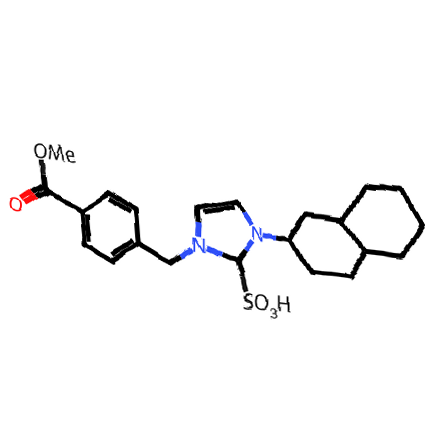 COC(=O)c1ccc(CN2C=CN(C3CCC4CCCCC4C3)C2S(=O)(=O)O)cc1